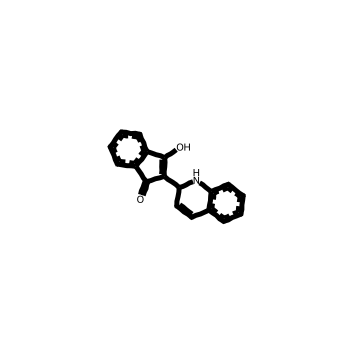 O=C1C(C2C=Cc3ccccc3N2)=C(O)c2ccccc21